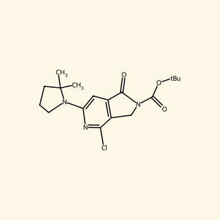 CC(C)(C)OC(=O)N1Cc2c(cc(N3CCCC3(C)C)nc2Cl)C1=O